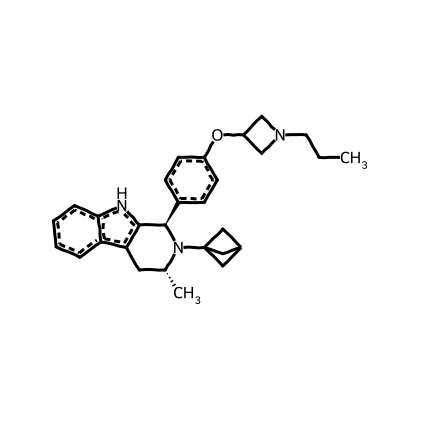 CCCN1CC(Oc2ccc([C@@H]3c4[nH]c5ccccc5c4C[C@@H](C)N3C34CC(C3)C4)cc2)C1